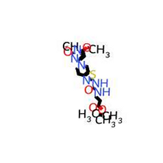 COc1cc(N2CCc3nc(NC(=O)NCCC(=O)OC(C)(C)C)sc3C2)nc(OC)n1